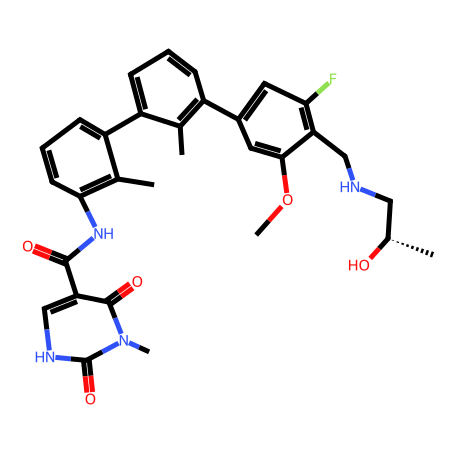 COc1cc(-c2cccc(-c3cccc(NC(=O)c4c[nH]c(=O)n(C)c4=O)c3C)c2C)cc(F)c1CNC[C@H](C)O